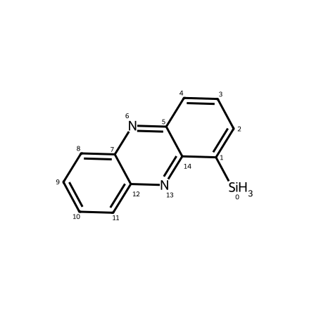 [SiH3]c1cccc2nc3ccccc3nc12